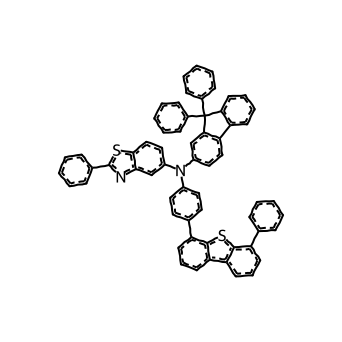 c1ccc(-c2nc3cc(N(c4ccc(-c5cccc6c5sc5c(-c7ccccc7)cccc56)cc4)c4ccc5c(c4)C(c4ccccc4)(c4ccccc4)c4ccccc4-5)ccc3s2)cc1